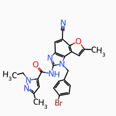 CCn1nc(C)cc1C(=O)Nc1nc2cc(C#N)c3oc(C)cc3c2n1Cc1ccc(Br)cc1